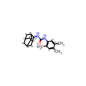 Cc1cc(C)c(NC(=O)NC2C3CC4CC(C3)CC2C4)cc1C